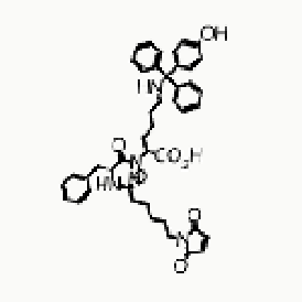 O=C(CCCCCN1C(=O)C=CC1=O)N[C@@H](Cc1ccccc1)C(=O)N[C@@H](CCCCNC(c1ccccc1)(c1ccccc1)c1ccc(O)cc1)C(=O)O